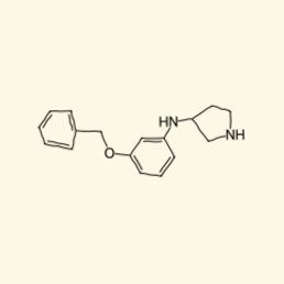 c1ccc(COc2cccc(NC3CCNC3)c2)cc1